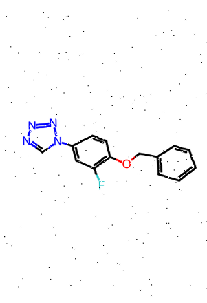 Fc1cc(-n2cnnn2)ccc1OCc1ccccc1